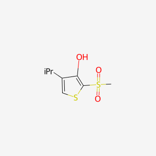 CC(C)c1csc(S(C)(=O)=O)c1O